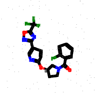 O=C(c1ccccc1F)N1CC[C@H](Oc2ccc(-c3noc(C(F)(F)F)n3)cn2)C1